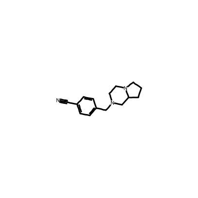 N#Cc1ccc(CN2CCN3CCCC3C2)cc1